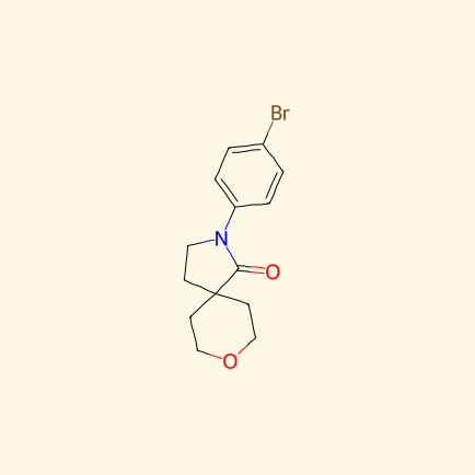 O=C1N(c2ccc(Br)cc2)CCC12CCOCC2